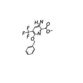 COC(=O)c1nc(OCc2ccccc2)c(C(F)(F)F)cc1N